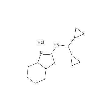 C1CCC2N=C(NC(C3CC3)C3CC3)CC2C1.Cl